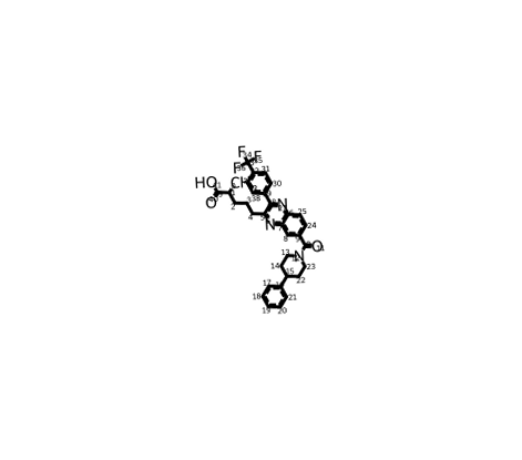 CC(CCCc1nc2cc(C(=O)N3CCC(c4ccccc4)CC3)ccc2nc1-c1ccc(C(F)(F)F)cc1)C(=O)O